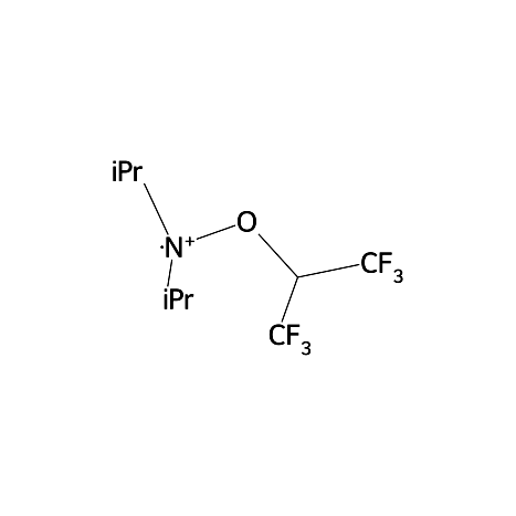 CC(C)[N+](OC(C(F)(F)F)C(F)(F)F)C(C)C